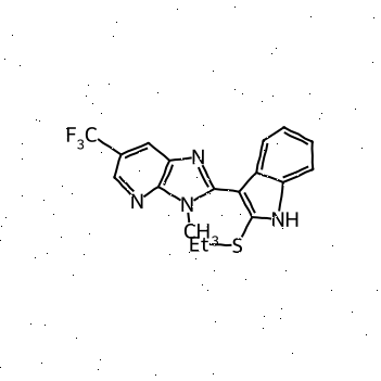 CCSc1[nH]c2ccccc2c1-c1nc2cc(C(F)(F)F)cnc2n1C